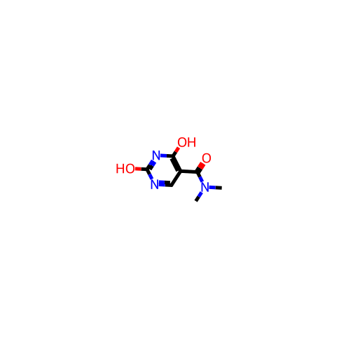 CN(C)C(=O)c1cnc(O)nc1O